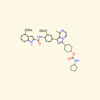 COc1cc(-c2nc(C3CCC(OC(=O)NC4CCCC4)CC3)n3ccnc(C)c23)ccc1NC(=O)c1cc2c(OC)cccc2n1C